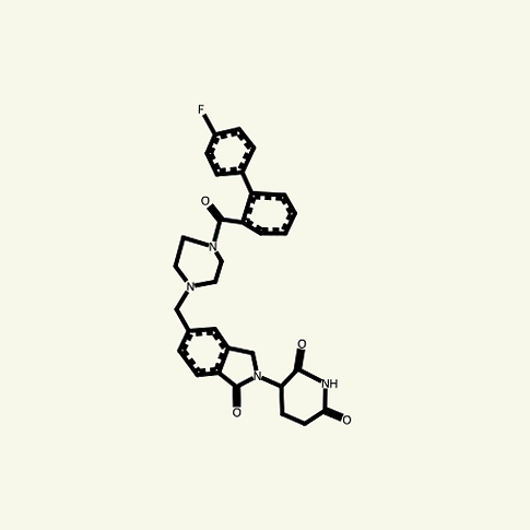 O=C1CCC(N2Cc3cc(CN4CCN(C(=O)c5ccccc5-c5ccc(F)cc5)CC4)ccc3C2=O)C(=O)N1